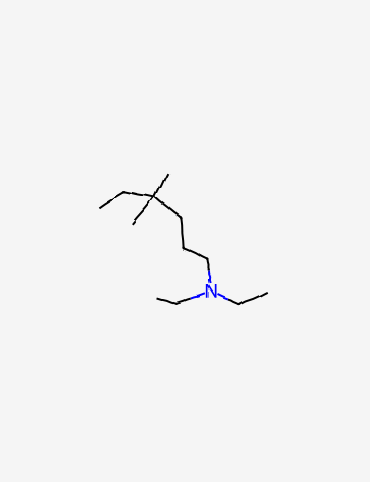 CCN(CC)CCCC(C)(C)CC